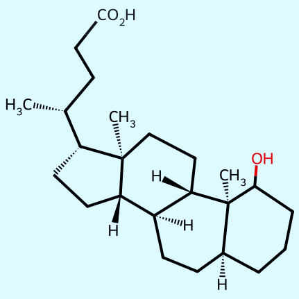 C[C@H](CCC(=O)O)[C@H]1CC[C@H]2[C@@H]3CC[C@@H]4CCCC(O)[C@]4(C)[C@H]3CC[C@]12C